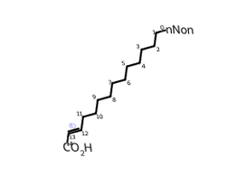 CCCCCCCCCCCCCCCCCCCC/C=C/C(=O)O